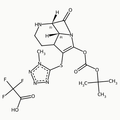 Cn1nnnc1SC1=C(OC(=O)OC(C)(C)C)N2C(=O)[C@H]3NCCC1[C@H]32.O=C(O)C(F)(F)F